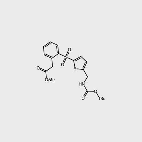 COC(=O)Cc1ccccc1S(=O)(=O)c1ccc(CNC(=O)OC(C)(C)C)s1